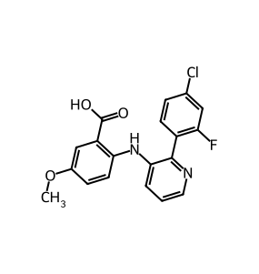 COc1ccc(Nc2cccnc2-c2ccc(Cl)cc2F)c(C(=O)O)c1